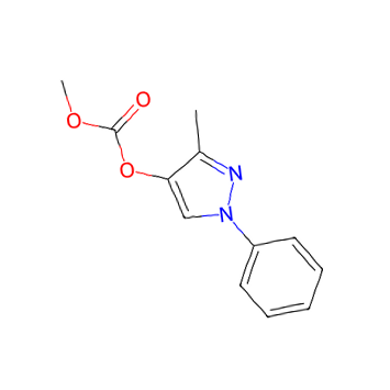 COC(=O)Oc1cn(-c2ccccc2)nc1C